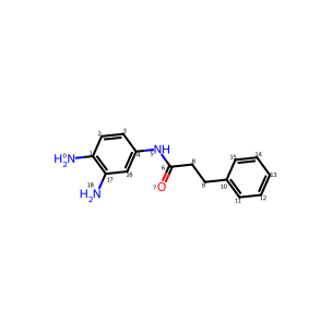 Nc1ccc(NC(=O)CCc2ccccc2)cc1N